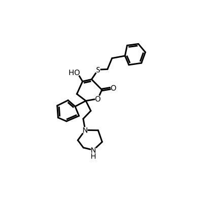 O=C1OC(CCN2CCNCC2)(c2ccccc2)CC(O)=C1SCCc1ccccc1